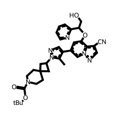 Cc1c(-c2cc(OC(CO)c3ccccn3)c3c(C#N)cnn3c2)cnn1C1CC2(CCN(C(=O)OC(C)(C)C)CC2)C1